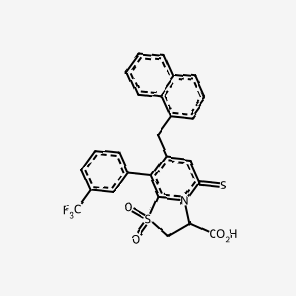 O=C(O)C1CS(=O)(=O)c2c(-c3cccc(C(F)(F)F)c3)c(Cc3cccc4ccccc34)cc(=S)n21